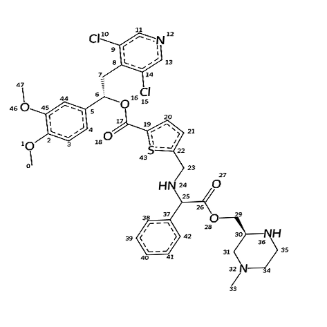 COc1ccc([C@H](Cc2c(Cl)cncc2Cl)OC(=O)c2ccc(CNC(C(=O)OC[C@@H]3CN(C)CCN3)c3ccccc3)s2)cc1OC